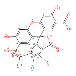 O=C(O)c1cc2c(cc1O)Oc1cc(O)c(C(=O)O)cc1C21OC(=O)c2c1cc(C(=O)O)c(Cl)c2Cl